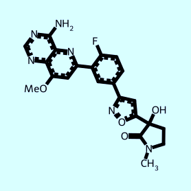 COc1cc(-c2cc(-c3cc(C4(O)CCN(C)C4=O)on3)ccc2F)nc2c(N)ncnc12